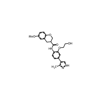 COc1ccc2c(c1)CC(C(=O)Nc1ccc(-c3c[nH]nc3C)cc1OCCO)CO2